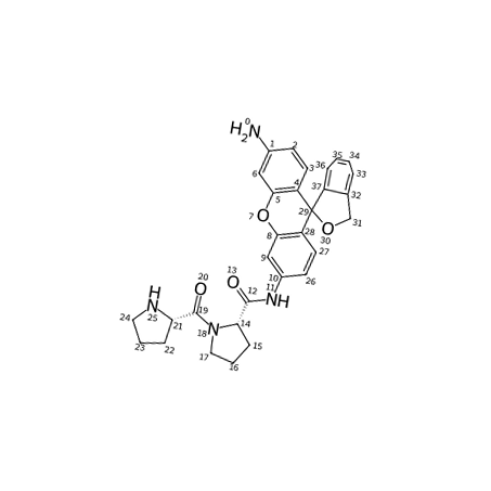 Nc1ccc2c(c1)Oc1cc(NC(=O)[C@@H]3CCCN3C(=O)[C@@H]3CCCN3)ccc1C21OCc2ccccc21